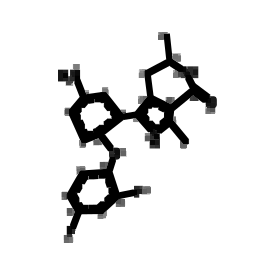 Cc1[nH]c(-c2cc(N)ccc2Oc2ccc(F)cc2F)c2c1C(=O)NC(C)C2